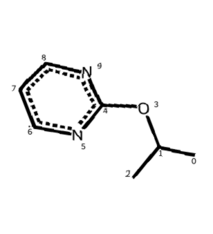 CC(C)Oc1n[c]ccn1